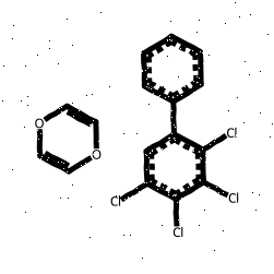 C1=COC=CO1.Clc1cc(-c2ccccc2)c(Cl)c(Cl)c1Cl